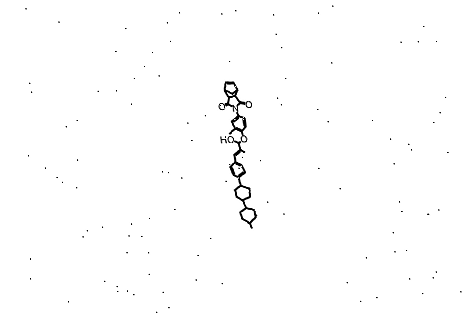 C/C(=C\c1ccc(C2CCC(C3CCC(C)CC3)CC2)cc1)C(O)Oc1ccc(N2C(=O)C3C4C=CC(C4)C3C2=O)cc1C